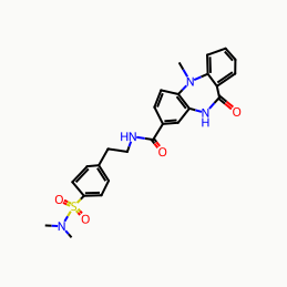 CN1c2ccc(C(=O)NCCc3ccc(S(=O)(=O)N(C)C)cc3)cc2NC(=O)c2ccccc21